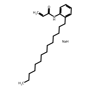 C=CC(=O)Nc1ccccc1CCCCCCCCCCCCCC.[NaH]